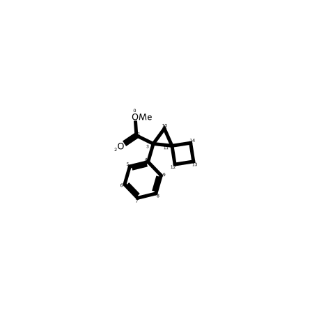 COC(=O)C1(c2ccccc2)CC12CCC2